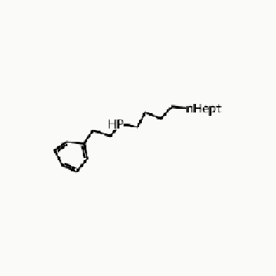 CCCCCCCCCCCPCCc1ccccc1